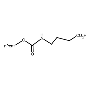 CCCCCOC(=O)NCCCC(=O)O